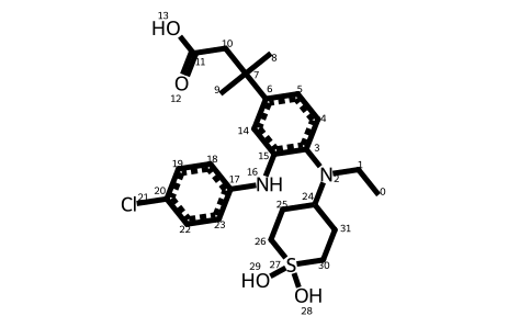 CCN(c1ccc(C(C)(C)CC(=O)O)cc1Nc1ccc(Cl)cc1)C1CCS(O)(O)CC1